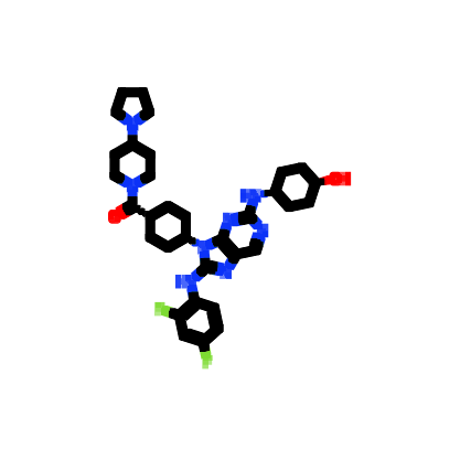 O=C([C@H]1CC[C@@H](n2c(Nc3ccc(F)cc3F)nc3cnc(N[C@H]4CC[C@H](O)CC4)nc32)CC1)N1CCC(N2CCCC2)CC1